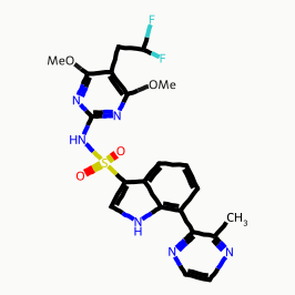 COc1nc(NS(=O)(=O)c2c[nH]c3c(-c4nccnc4C)cccc23)nc(OC)c1CC(F)F